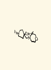 OC1(CN2CCOCC2)CCNCC1